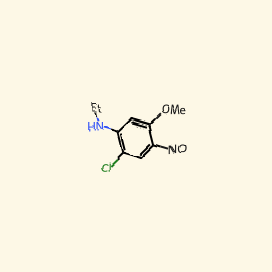 CCNc1cc(OC)c(N=O)cc1Cl